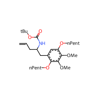 C=CCC(Cc1cc(OCCCCC)c(OC)c(OC)c1OCCCCC)NC(=O)OC(C)(C)C